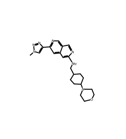 Cn1cc(-c2cc3cc(NCC4CCC(N5CCOCC5)CC4)ncc3cn2)nn1